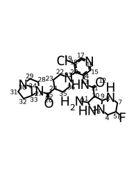 NC1NN2CC(F)CNC2C1C(=O)Nc1cncc(Cl)c1N1CCC(C(=O)N2CCN3CCC2C3)CC1